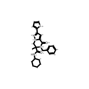 CC1(C(=O)NC2CCCCC2)Cn2nc(-c3cccs3)cc2C(=O)N1Cc1ccccc1